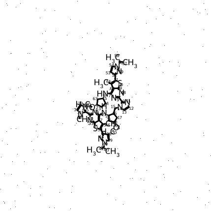 CO[C@@H]1CC[C@H](Nc2nc(-c3nccn3CC3C[C@H](OC)C[C@@H]3Nc3nc(-c4nccn4C)nc4sc(-c5ccn(C(C)C)n5)c(C)c34)nc3sc(-c4ccn(C(C)C)n4)c(C)c23)C1